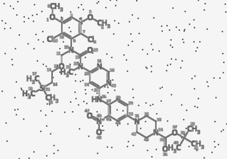 COc1cc(OC)c(Cl)c(N(COCC[Si](C)(C)C)C(=O)N(C)c2cc(Nc3ccc(N4CCN(C(=O)OC(C)(C)C)CC4)cc3[N+](=O)[O-])ncn2)c1Cl